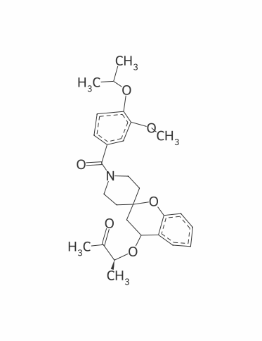 COc1cc(C(=O)N2CCC3(CC2)CC(O[C@@H](C)C(C)=O)c2ccccc2O3)ccc1OC(C)C